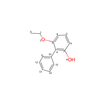 CCOc1cccc(O)c1-c1ccccc1